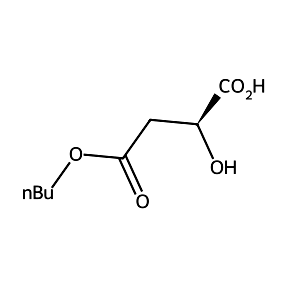 CCCCOC(=O)C[C@H](O)C(=O)O